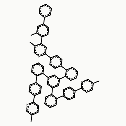 Cc1ccc(-c2ccc(-c3ccccc3-c3cc(-c4ccccc4-c4ccc(-c5ccc(C)cn5)cc4)cc(-c4ccccc4-c4ccc(-c5cc(-c6ccc(-c7ccccc7)cc6C)c(C)cn5)cc4)c3)cc2)nc1